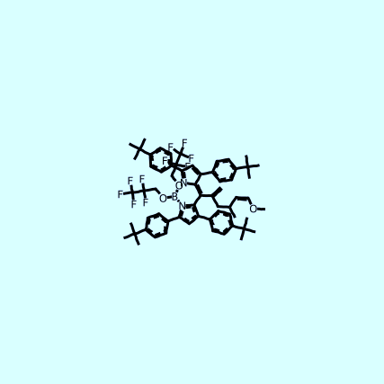 C=C(CC(C)/C=C\OC)/C(=C1/N=C(c2ccc(C(C)(C)C)cc2)C=C1c1ccc(C(C)(C)C)cc1)c1c(-c2ccc(C(C)(C)C)cc2)cc(-c2ccc(C(C)(C)C)cc2)n1B(OCC(F)(F)C(F)(F)F)OCC(F)(F)C(F)(F)F